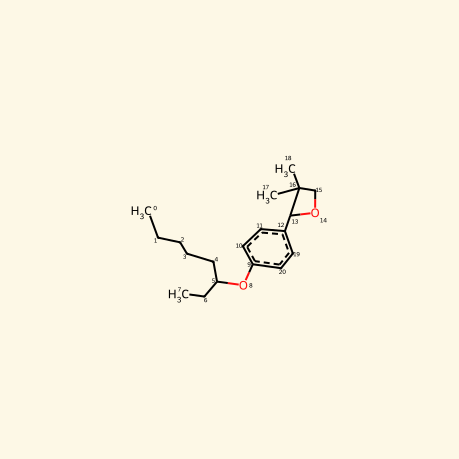 CCCCCC(CC)Oc1ccc(C2OCC2(C)C)cc1